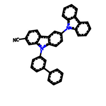 N#Cc1ccc2c3cc(-n4c5ccccc5c5ccccc54)ccc3n(-c3cccc(-c4ccccc4)c3)c2c1